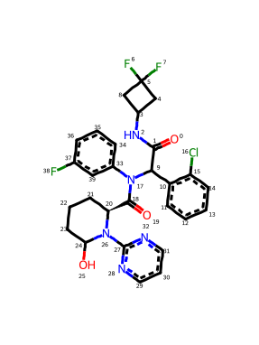 O=C(NC1CC(F)(F)C1)C(c1ccccc1Cl)N(C(=O)[C@@H]1CCCC(O)N1c1ncccn1)c1cccc(F)c1